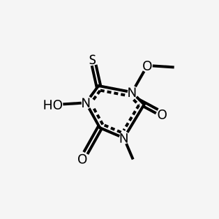 COn1c(=O)n(C)c(=O)n(O)c1=S